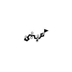 O=S(=O)([CH]CS(=O)(=O)CC1CN(C2CC2)C1)Cc1ccco1